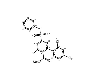 COC(=O)c1c(C)nc(S(=O)(=O)Cc2ccccc2)nc1-c1ccc(Cl)cc1Cl